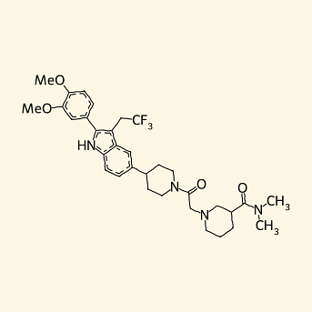 COc1ccc(-c2[nH]c3ccc(C4CCN(C(=O)CN5CCCC(C(=O)N(C)C)C5)CC4)cc3c2CC(F)(F)F)cc1OC